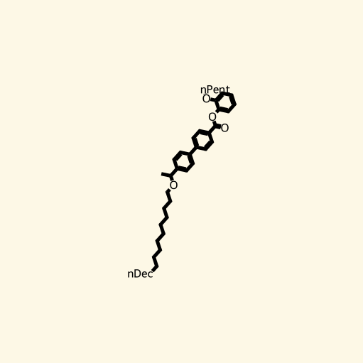 CCCCCCCCCCCCCCCCCCCCOC(C)c1ccc(-c2ccc(C(=O)Oc3ccccc3OCCCCC)cc2)cc1